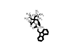 CC#CCC(C[N+](C)(C)C)(C[N+](C)(C)C)[C@@H](NC(=O)OCC1c2ccccc2-c2ccccc21)C(=O)O